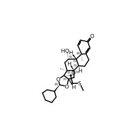 CSCC(=O)[C@@]12O[C@H](C3CCCCC3)O[C@H]1C[C@H]1[C@@H]3CCC4=CC(=O)C=C[C@]4(C)[C@H]3[C@@H](O)C[C@@]12C